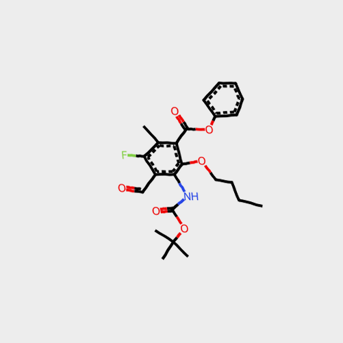 CCCCOc1c(NC(=O)OC(C)(C)C)c(C=O)c(F)c(C)c1C(=O)Oc1ccccc1